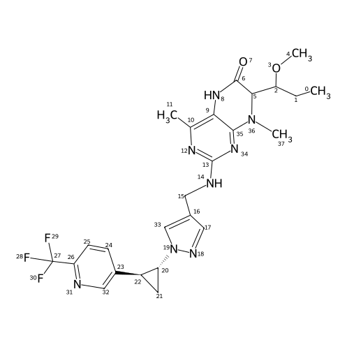 CCC(OC)C1C(=O)Nc2c(C)nc(NCc3cnn([C@@H]4C[C@H]4c4ccc(C(F)(F)F)nc4)c3)nc2N1C